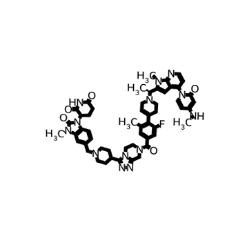 CNc1ccn(-c2ccnc3c2cc([C@H](C)N2CC=C(c4c(C)cc(C(=O)N5CCn6c(nnc6C6CCN(Cc7ccc8c(c7)n(C)c(=O)n8C7CCC(=O)NC7=O)CC6)C5)cc4F)CC2)n3C)c(=O)c1